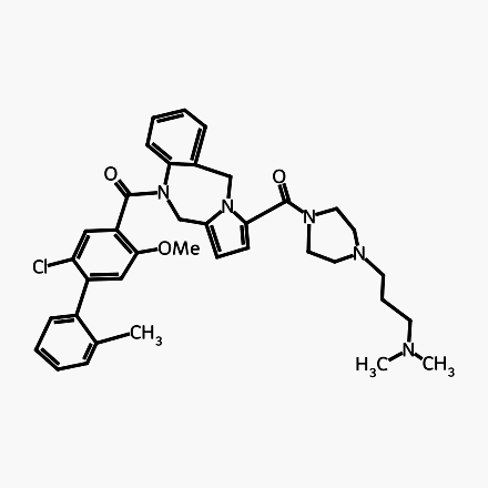 COc1cc(-c2ccccc2C)c(Cl)cc1C(=O)N1Cc2ccc(C(=O)N3CCN(CCCN(C)C)CC3)n2Cc2ccccc21